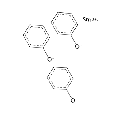 [O-]c1ccccc1.[O-]c1ccccc1.[O-]c1ccccc1.[Sm+3]